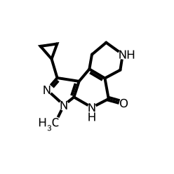 Cn1nc(C2CC2)c2c3c(c(=O)[nH]c21)CNCC3